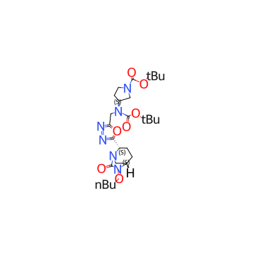 CCCCON1C(=O)N2C[C@@H]1CC[C@H]2c1nnc(CN(C(=O)OC(C)(C)C)[C@H]2CCN(C(=O)OC(C)(C)C)C2)o1